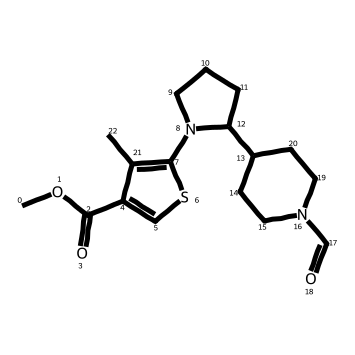 COC(=O)c1csc(N2CCCC2C2CCN(C=O)CC2)c1C